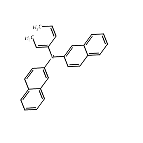 C/C=C\C(=C/C)N(c1ccc2ccccc2c1)c1ccc2ccccc2c1